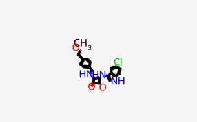 COCCc1ccc(CNC2C(=O)C(=O)C2Nc2c[nH]c3ccc(Cl)cc23)cc1